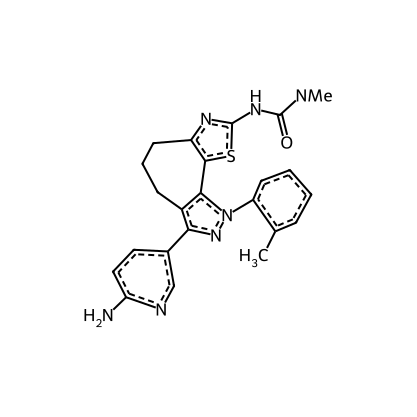 CNC(=O)Nc1nc2c(s1)-c1c(c(-c3ccc(N)nc3)nn1-c1ccccc1C)CCC2